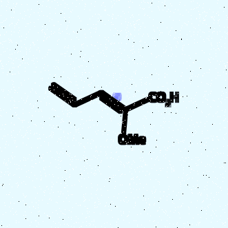 C=C/C=C(\OC)C(=O)O